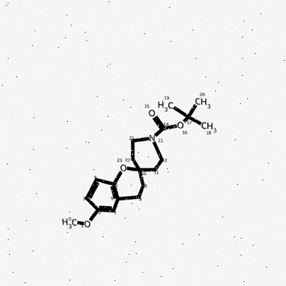 COc1ccc2c(c1)CCC1(CCN(C(=O)OC(C)(C)C)CC1)O2